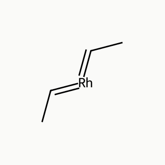 C[CH]=[Rh]=[CH]C